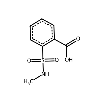 CNS(=O)(=O)c1ccccc1C(=O)O